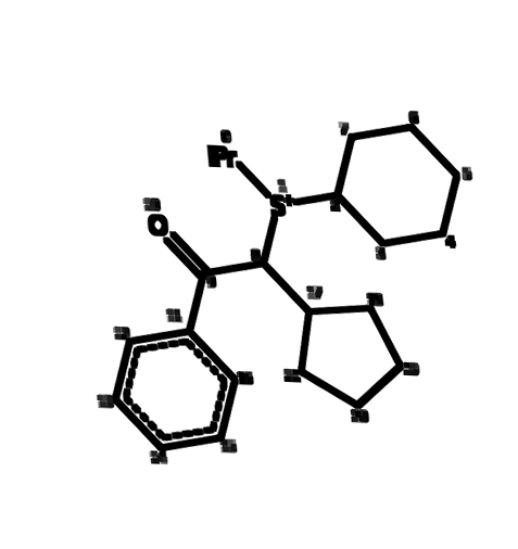 CC(C)[S+](C1CCCCC1)C(C(=O)c1ccccc1)C1CCCC1